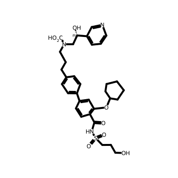 O=C(NS(=O)(=O)CCCO)c1ccc(-c2ccc(CCCN(C[C@H](O)c3cccnc3)C(=O)O)cc2)cc1OC1CCCCC1